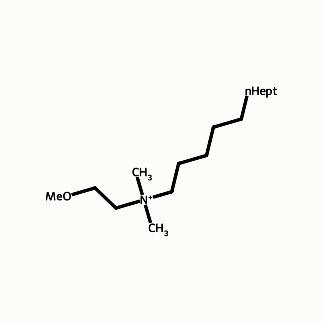 CCCCCCCCCCCC[N+](C)(C)CCOC